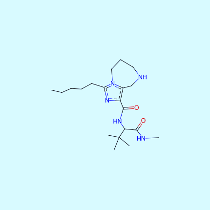 CCCCCc1nc(C(=O)NC(C(=O)NC)C(C)(C)C)c2n1CCCNC2